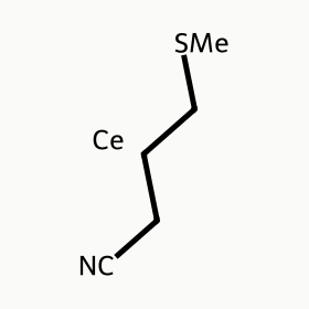 CSCCCC#N.[Ce]